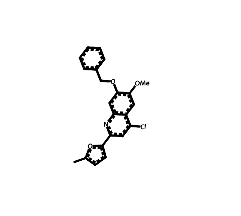 COc1cc2c(Cl)cc(-c3ccc(C)o3)nc2cc1OCc1ccccc1